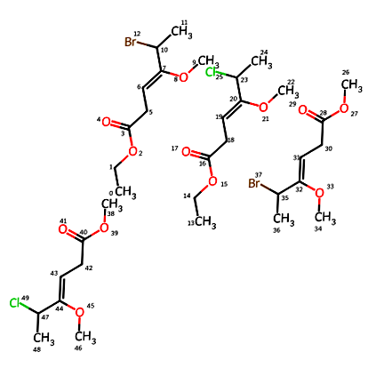 CCOC(=O)CC=C(OC)C(C)Br.CCOC(=O)CC=C(OC)C(C)Cl.COC(=O)CC=C(OC)C(C)Br.COC(=O)CC=C(OC)C(C)Cl